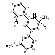 CC(=O)Nc1cc(C2=CC(C)(O)NC(c3ccccc3Cl)=C2)ccn1